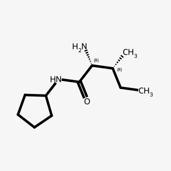 CC[C@@H](C)[C@@H](N)C(=O)NC1CCCC1